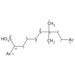 CC(=O)CCC(C)(C)SSCCC(C(C)=O)S(=O)(=O)O